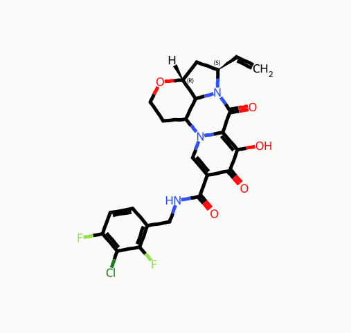 C=C[C@@H]1C[C@H]2OCCC3C2N1C(=O)c1c(O)c(=O)c(C(=O)NCc2ccc(F)c(Cl)c2F)cn13